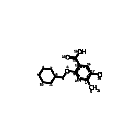 Cc1nc(OCC2CCCCC2)c(C(=O)O)cc1Cl